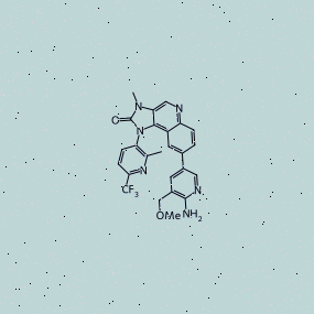 COCc1cc(-c2ccc3ncc4c(c3c2)n(-c2ccc(C(F)(F)F)nc2C)c(=O)n4C)cnc1N